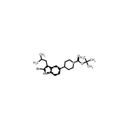 CC(C)Cc1c(Br)[nH]c2ccc(C3CCN(C(=O)OC(C)(C)C)CC3)cc12